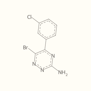 Nc1nnc(Br)c(-c2cccc(Cl)c2)n1